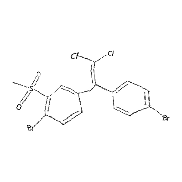 CS(=O)(=O)c1cc(C(=C(Cl)Cl)c2ccc(Br)cc2)ccc1Br